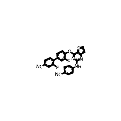 N#Cc1ccc(Nc2nc(Oc3ccc(-c4ccc(C#N)cc4F)cc3F)c3sccc3n2)cc1